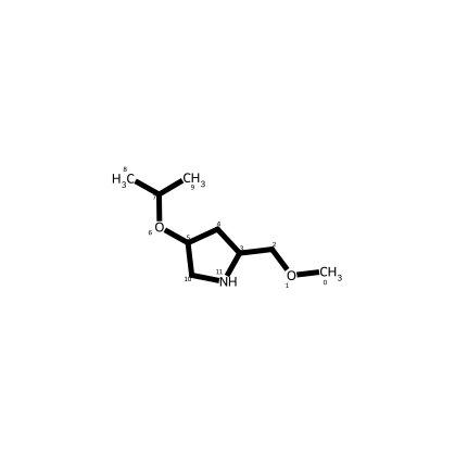 COCC1CC(OC(C)C)CN1